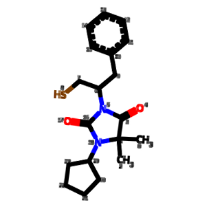 CC1(C)C(=O)N(C(CS)Cc2ccccc2)C(=O)N1C1CCCC1